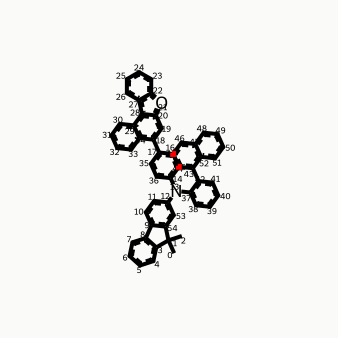 CC1(C)c2ccccc2-c2ccc(N(c3ccc(-c4cc5oc6ccccc6c5c5ccccc45)cc3)c3ccccc3-c3cccc4ccccc34)cc21